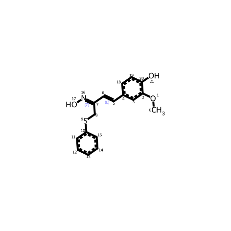 COc1cc(/C=C/C(CSc2ccccc2)=N/O)ccc1O